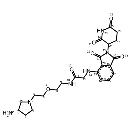 N[C@H]1CCN(CCOCCNC(=O)CNc2cccc3c2C(=O)N(C2CCC(=O)NC2=O)C3=O)C1